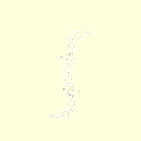 COc1ccc(Nc2ccc(/N=N/C3=C(O)OC4(CCC(C5CCC6(CC5)OC(=O)C(/N=N/c5ccc(Nc7ccc(OC)cc7)cc5)=C(O)O6)CC4)OC3=O)cc2)cc1